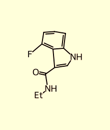 CCNC(=O)c1c[nH]c2cccc(F)c12